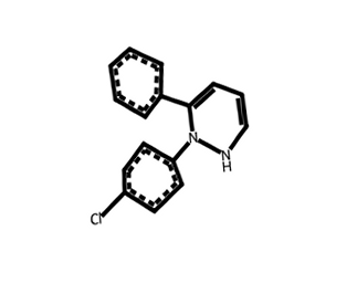 Clc1ccc(N2NC=CC=C2c2ccccc2)cc1